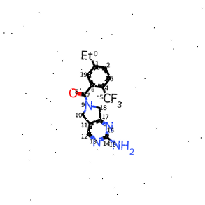 CCc1ccc(C(F)(F)F)c(C(=O)N2Cc3cnc(N)nc3C2)c1